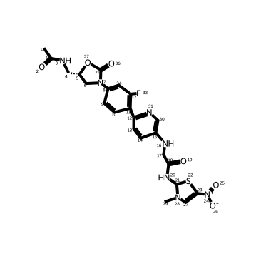 CC(=O)NC[C@H]1CN(c2ccc(-c3ccc(NCC(=O)NC4SC([N+](=O)[O-])=CN4C)cn3)c(F)c2)C(=O)O1